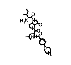 CCC(C)C(N)C(=O)N1CC(=O)C2C1CCN2C(=O)C(CC(C)C)NC(=O)c1ccc(N2CCN(C)CC2)cc1